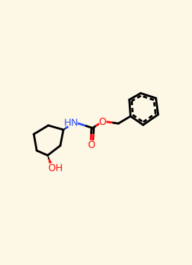 O=C(N[C@@H]1CCC[C@H](O)C1)OCc1ccccc1